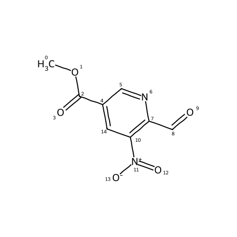 COC(=O)c1cnc(C=O)c([N+](=O)[O-])c1